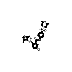 Cc1noc(C)c1SNc1ccc(Cl)cc1C(=O)Nc1ccc(S(=O)(=O)N2CC(C)OC(C)C2)cc1